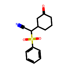 N#CC(C1CCCC(=O)C1)S(=O)(=O)c1ccccc1